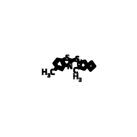 Cc1ccc2sc(SN3CC4(CCC4)CC3C)nc2c1